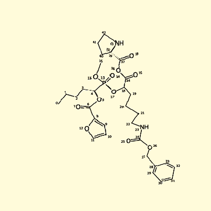 CCCCC(OC(=O)c1ccco1)P(=O)(OC)OC(CCCCNC(=O)OCc1ccccc1)C(=O)OC(=O)[C@@H]1CCCN1